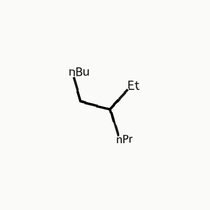 [CH2]CCC(CC)CCCCC